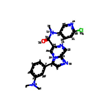 CN(C)c1cccc(-c2cnc3cnc(C(=O)N(C)c4ccc(Cl)nc4)cn23)c1